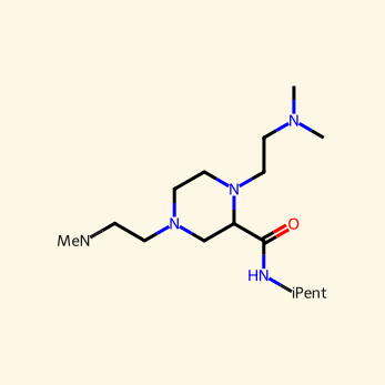 CCCC(C)NC(=O)C1CN(CCNC)CCN1CCN(C)C